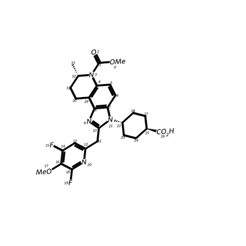 COC(=O)N1c2ccc3c(nc(Cc4cc(F)c(OC)c(F)n4)n3[C@H]3CC[C@H](C(=O)O)CC3)c2CC[C@@H]1C